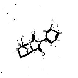 O=C1C2C3CC[C@@H](C3)N2C(=O)N1c1cccc(C(F)(F)F)c1